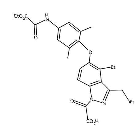 CCOC(=O)C(=O)Nc1cc(C)c(Oc2ccc3c(c(CC(C)C)nn3C(=O)C(=O)O)c2CC)c(C)c1